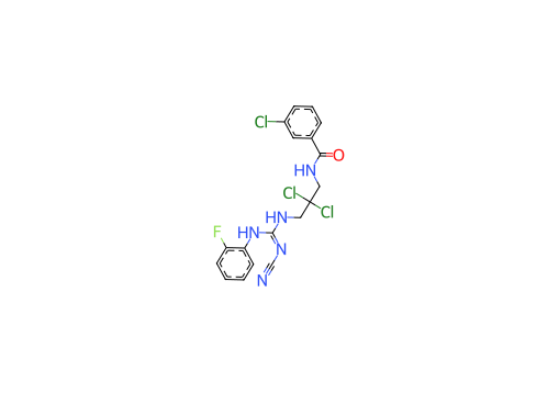 N#CN=C(NCC(Cl)(Cl)CNC(=O)c1cccc(Cl)c1)Nc1ccccc1F